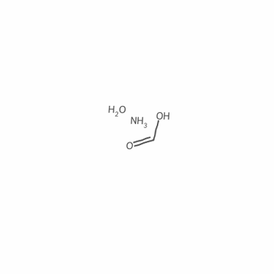 N.O.O=CO